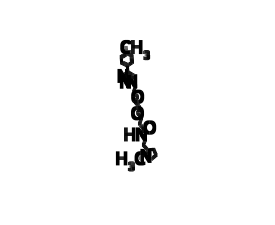 Cc1ccc(-c2cn(CCOCCOCCC(=O)NCCC3CCCN3C)nn2)cc1